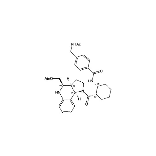 COC[C@@H]1Nc2ccccc2[C@H]2[C@@H]1CCN2C(=O)[C@H]1CCCC[C@H]1NC(=O)c1ccc(CNC(C)=O)cc1